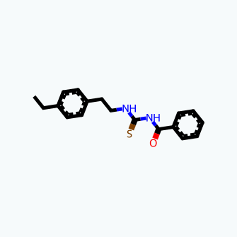 CCc1ccc(CCNC(=S)NC(=O)c2ccccc2)cc1